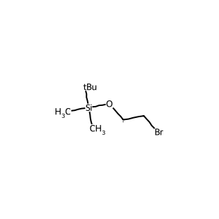 CC(C)(C)[Si](C)(C)O[CH]CBr